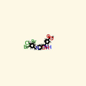 COC(=O)c1ccc(C(=N)CC2(O)CCN(Cc3cc(Br)c(Cl)c(Br)c3)CC2)cc1